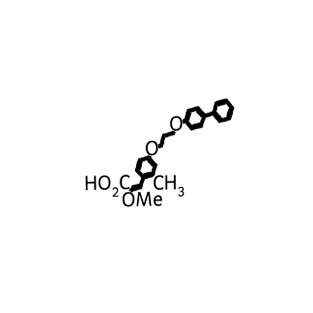 COC(=Cc1ccc(OCCCOc2ccc(-c3ccccc3)cc2)cc1C)C(=O)O